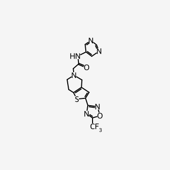 O=C(CN1CCc2sc(-c3noc(C(F)(F)F)n3)cc2C1)Nc1cncnc1